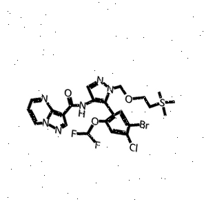 CS(C)(C)CCOCn1ncc(NC(=O)c2cnn3cccnc23)c1-c1cc(Br)c(Cl)cc1OC(F)F